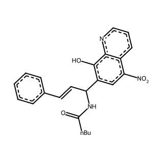 CCCCC(=O)NC(C=Cc1ccccc1)c1cc([N+](=O)[O-])c2cccnc2c1O